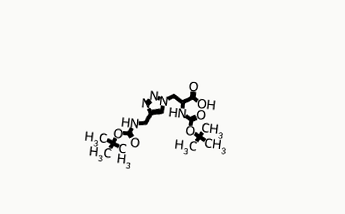 CC(C)(C)OC(=O)NCc1cn(CC(NC(=O)OC(C)(C)C)C(=O)O)nn1